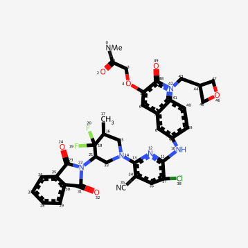 CNC(=O)COc1cc2cc(Nc3nc(N4CC(C)C(F)(F)C(N5C(=O)c6ccccc6C5=O)C4)c(C#N)cc3Cl)ccc2n(CC2COC2)c1=O